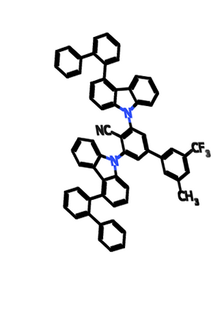 Cc1cc(-c2cc(-n3c4ccccc4c4c(-c5ccccc5-c5ccccc5)cccc43)c(C#N)c(-n3c4ccccc4c4c(-c5ccccc5-c5ccccc5)cccc43)c2)cc(C(F)(F)F)c1